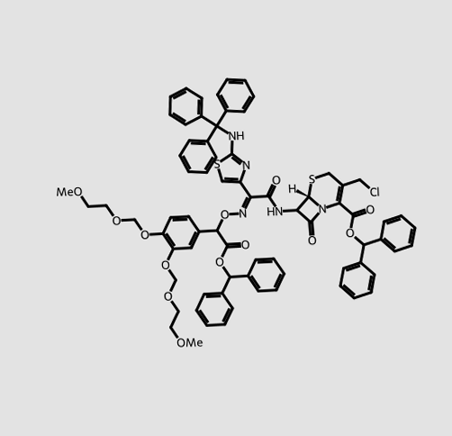 COCCOCOc1ccc(C(ON=C(C(=O)NC2C(=O)N3C(C(=O)OC(c4ccccc4)c4ccccc4)=C(CCl)CS[C@@H]23)c2csc(NC(c3ccccc3)(c3ccccc3)c3ccccc3)n2)C(=O)OC(c2ccccc2)c2ccccc2)cc1OCOCCOC